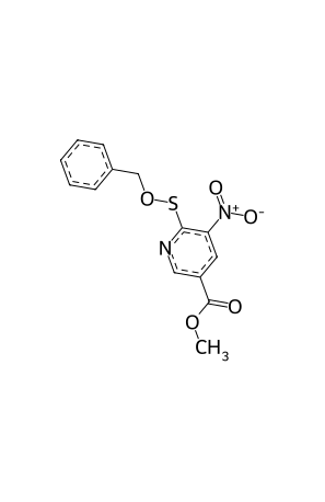 COC(=O)c1cnc(SOCc2ccccc2)c([N+](=O)[O-])c1